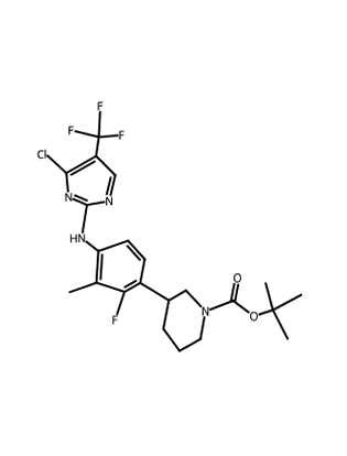 Cc1c(Nc2ncc(C(F)(F)F)c(Cl)n2)ccc(C2CCCN(C(=O)OC(C)(C)C)C2)c1F